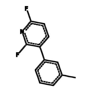 Cc1cccc(-c2ccc(F)nc2F)c1